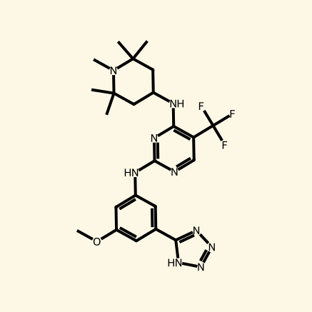 COc1cc(Nc2ncc(C(F)(F)F)c(NC3CC(C)(C)N(C)C(C)(C)C3)n2)cc(-c2nnn[nH]2)c1